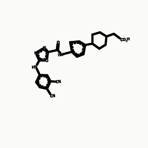 N#Cc1ccc(Nc2nnc(C(=O)Nc3ccc(C4CCC(CC(=O)O)CC4)cc3)o2)cc1C#N